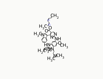 C=C/C=C\C=C(/C)OC(=O)c1cnc(Nc2cc(NC(=O)C=C)c(N(C)CCN(C)C)cc2OC)nc1-c1cn(C)c2ccccc12